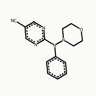 N#Cc1cnc(N(c2ccccc2)N2CCOCC2)nc1